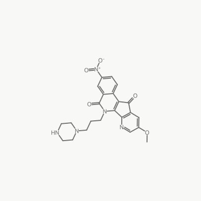 COc1cnc2c(c1)C(=O)c1c-2n(CCCN2CCNCC2)c(=O)c2cc([N+](=O)[O-])ccc12